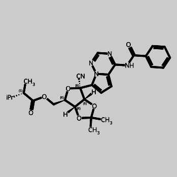 CC(C)[C@H](C)C(=O)OC[C@H]1O[C@@](C#N)(c2ccc3c(NC(=O)c4ccccc4)ncnn23)[C@@H]2OC(C)(C)O[C@@H]21